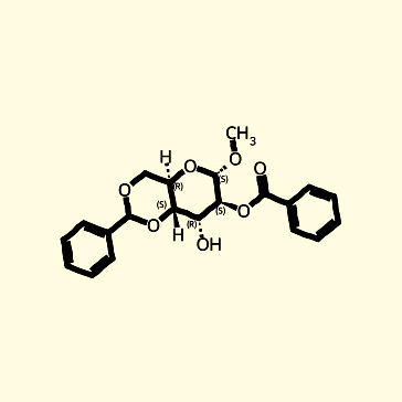 CO[C@H]1O[C@@H]2COC(c3ccccc3)O[C@H]2[C@@H](O)[C@@H]1OC(=O)c1ccccc1